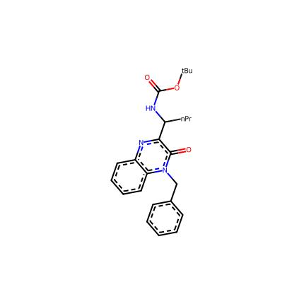 CCCC(NC(=O)OC(C)(C)C)c1nc2ccccc2n(Cc2ccccc2)c1=O